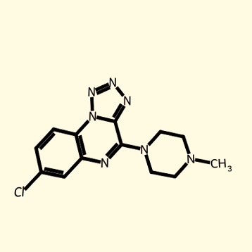 CN1CCN(c2nc3cc(Cl)ccc3n3nnnc23)CC1